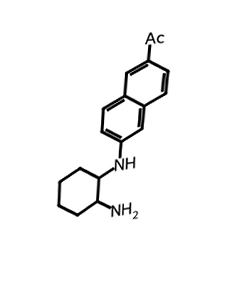 CC(=O)c1ccc2cc(NC3CCCCC3N)ccc2c1